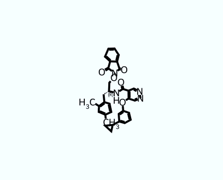 Cc1ccc(C[C@H](CON2C(=O)c3ccccc3C2=O)NC(=O)c2cnncc2Oc2cccc(C3CC3)c2)c(C)c1